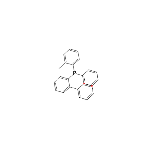 Cc1ccccc1P(c1ccccc1)c1ccccc1-c1ccccc1